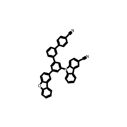 N#Cc1ccc(-c2cccc(-c3cc(-c4ccc5oc6ccccc6c5c4)cc(-n4c5ccccc5c5cc(C#N)ccc54)c3)c2)cc1